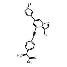 C=C(C(N)=O)c1ccc(C#Cc2cc(-c3cnn(C(C)C)c3)cn3ncc(C#N)c23)cc1